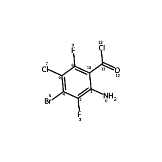 Nc1c(F)c(Br)c(Cl)c(F)c1C(=O)Cl